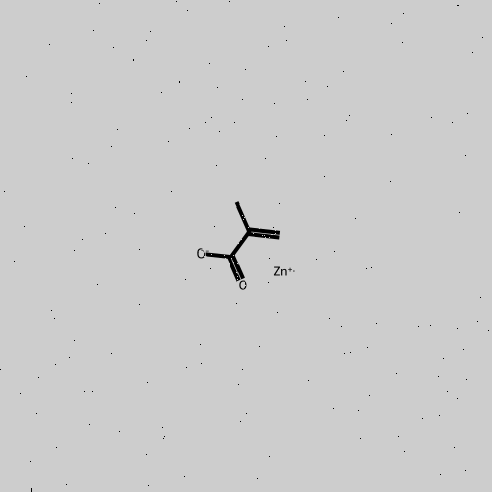 C=C(C)C(=O)[O-].[Zn+]